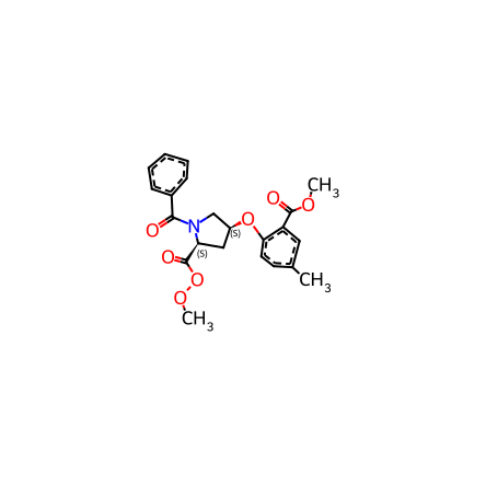 COOC(=O)[C@@H]1C[C@H](Oc2ccc(C)cc2C(=O)OC)CN1C(=O)c1ccccc1